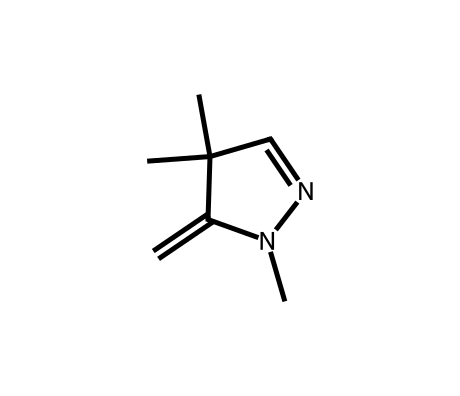 C=C1N(C)N=CC1(C)C